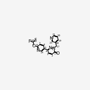 O=c1ccc(-c2ccc(OC(F)F)nc2)nn1Cc1cccnc1